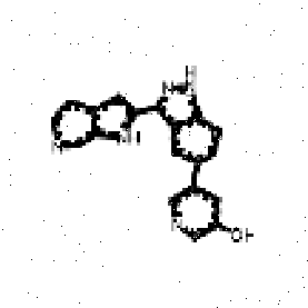 Oc1cncc(-c2ccc3[nH]nc(-c4cc5ccncc5[nH]4)c3c2)c1